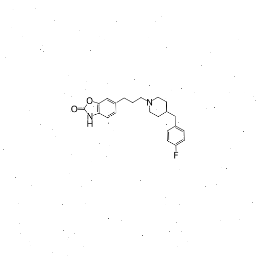 O=c1[nH]c2ccc(CCCN3CCC(Cc4ccc(F)cc4)CC3)cc2o1